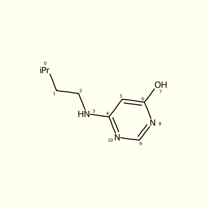 CC(C)CCNc1cc(O)ncn1